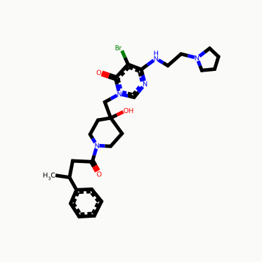 CC(CC(=O)N1CCC(O)(Cn2cnc(NCCN3CCCC3)c(Br)c2=O)CC1)c1ccccc1